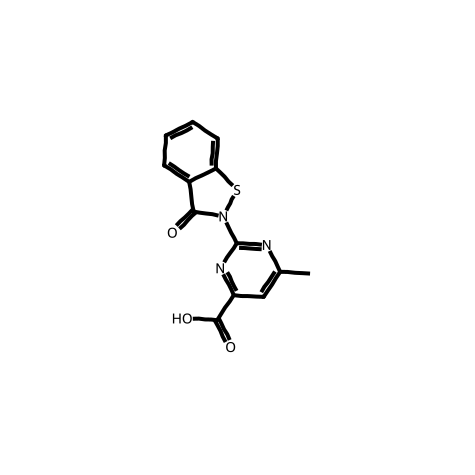 Cc1cc(C(=O)O)nc(-n2sc3ccccc3c2=O)n1